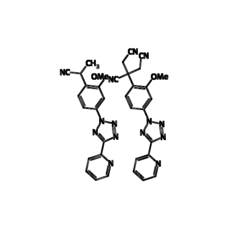 COc1cc(-n2nnc(-c3ccccn3)n2)ccc1C(C#N)(CC#N)CC#N.COc1cc(-n2nnc(-c3ccccn3)n2)ccc1C(C)C#N